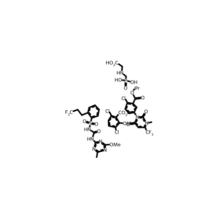 CC(C)OC(=O)c1cc(-n2c(=O)cc(C(F)(F)F)n(C)c2=O)ccc1Cl.COc1c(Cl)ccc(Cl)c1C(=O)O.COc1nc(C)nc(NC(=O)NS(=O)(=O)c2ccccc2CCC(F)(F)F)n1.O=C(O)CNCP(=O)(O)O